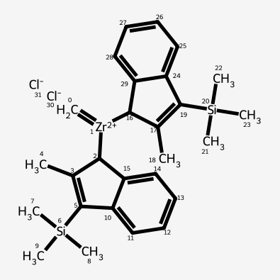 [CH2]=[Zr+2]([CH]1C(C)=C([Si](C)(C)C)c2ccccc21)[CH]1C(C)=C([Si](C)(C)C)c2ccccc21.[Cl-].[Cl-]